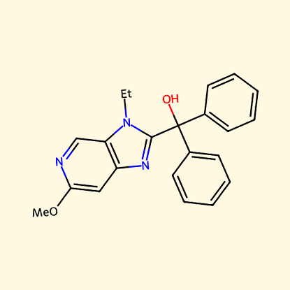 CCn1c(C(O)(c2ccccc2)c2ccccc2)nc2cc(OC)ncc21